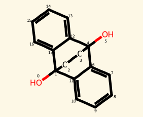 OC12CCC(O)(c3ccccc31)c1ccccc12